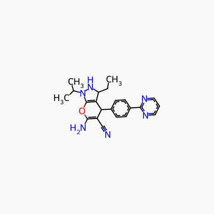 CCC1NN(C(C)C)C2=C1C(c1ccc(-c3ncccn3)cc1)C(C#N)=C(N)O2